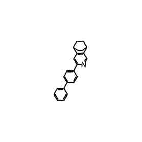 c1ccc(-c2ccc(-c3cc4c(cn3)C3CCC4CC3)cc2)cc1